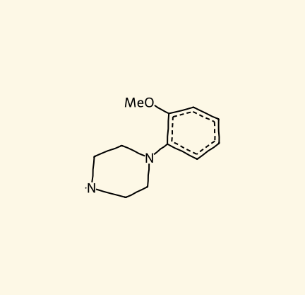 COc1ccccc1N1CC[N]CC1